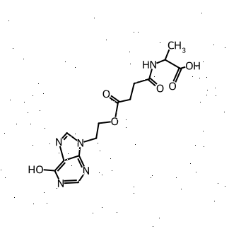 CC(NC(=O)CCC(=O)OCCn1cnc2c(O)ncnc21)C(=O)O